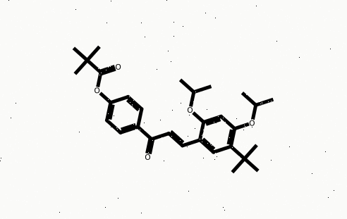 CC(C)Oc1cc(OC(C)C)c(C(C)(C)C)cc1C=CC(=O)c1ccc(OC(=O)C(C)(C)C)cc1